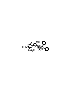 Nc1nc(=O)n([C@H]2C[C@H](O)[C@@H](NOP(=O)(OCc3ccccc3)OCc3ccccc3)O2)cc1C(=O)O